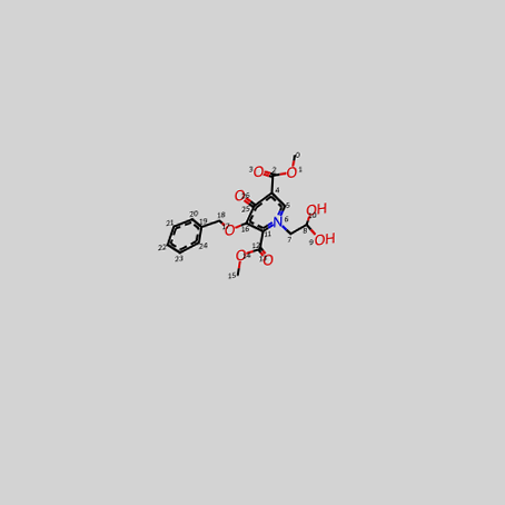 COC(=O)c1cn(CC(O)O)c(C(=O)OC)c(OCc2ccccc2)c1=O